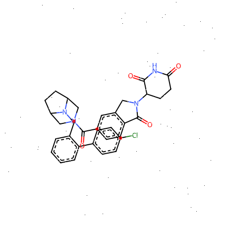 O=C1CCC(N2Cc3cc(C(=O)N4CC5CCC(C4)N5Cc4ccccc4-c4ccc(Cl)cc4)ccc3C2=O)C(=O)N1